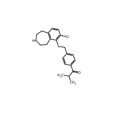 CC(C)C(=O)c1ccc(CSc2c(Cl)ccc3c2CCNCC3)cc1